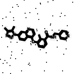 Cc1nnn(-c2ccc3c(Oc4cccc(C(=O)NCc5ccncc5)c4C)ccnc3c2)c1C